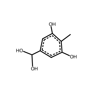 Cc1c(O)cc(C(O)O)cc1O